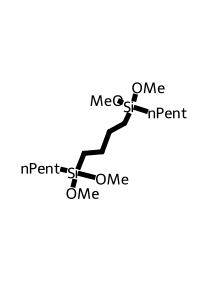 CCCCC[Si](CCCC[Si](CCCCC)(OC)OC)(OC)OC